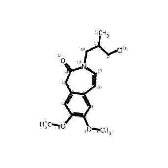 COc1cc2c(cc1OC)CC(=O)N(CC(C)CCl)C=C2